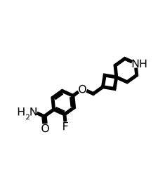 NC(=O)c1ccc(OCC2CC3(CCNCC3)C2)cc1F